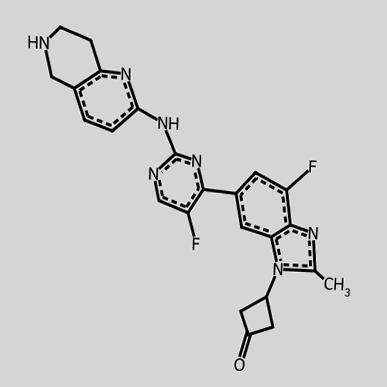 Cc1nc2c(F)cc(-c3nc(Nc4ccc5c(n4)CCNC5)ncc3F)cc2n1C1CC(=O)C1